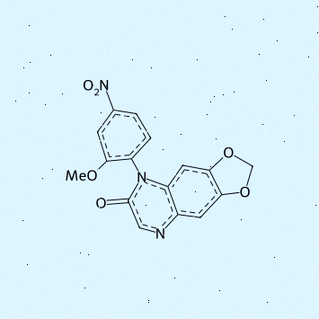 COc1cc([N+](=O)[O-])ccc1-n1c(=O)cnc2cc3c(cc21)OCO3